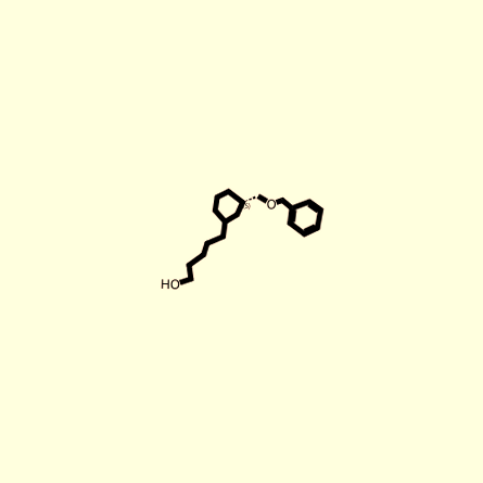 OCCCCCC1CCC[C@H](COCc2ccccc2)C1